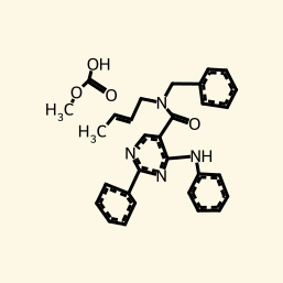 C/C=C/CN(Cc1ccccc1)C(=O)c1cnc(-c2ccccc2)nc1Nc1ccccc1.COC(=O)O